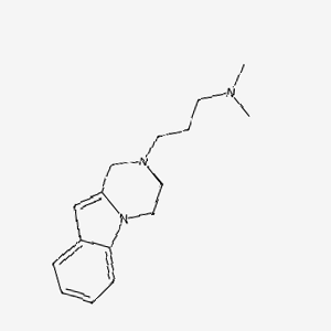 CN(C)CCCN1CCn2c(cc3ccccc32)C1